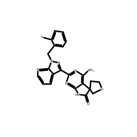 Nc1nc(-c2nn(Cc3ccccc3F)c3ncccc23)nc2c1C1(CCOC1)C(=O)N2